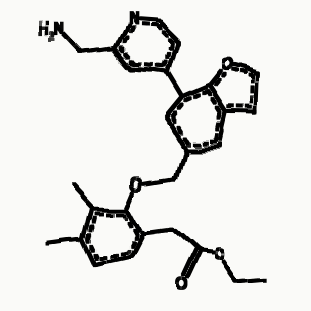 CCOC(=O)Cc1ccc(C)c(C)c1OCc1cc(-c2ccnc(CN)c2)c2occc2c1